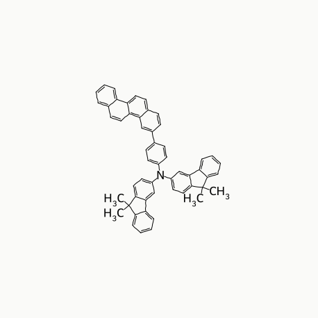 CC1(C)c2ccccc2-c2cc(N(c3ccc(-c4ccc5ccc6c7ccccc7ccc6c5c4)cc3)c3ccc4c(c3)-c3ccccc3C4(C)C)ccc21